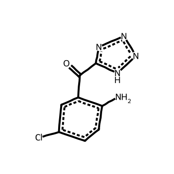 Nc1ccc(Cl)cc1C(=O)c1nnn[nH]1